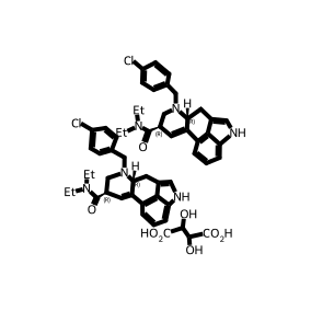 CCN(CC)C(=O)[C@@H]1C=C2c3cccc4[nH]cc(c34)C[C@H]2N(Cc2ccc(Cl)cc2)C1.CCN(CC)C(=O)[C@@H]1C=C2c3cccc4[nH]cc(c34)C[C@H]2N(Cc2ccc(Cl)cc2)C1.O=C(O)C(O)C(O)C(=O)O